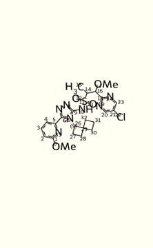 COc1cccc(-c2nnc(NS(=O)(=O)C(C)C(OC)c3ncc(Cl)cn3)n2[C@H]2CCC23CCC3)n1